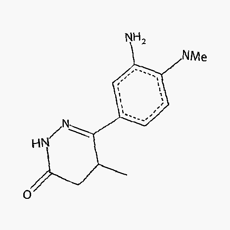 CNc1ccc(C2=NNC(=O)CC2C)cc1N